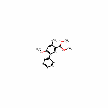 COc1cc(C)c(C(OC)OC)cc1-c1ccccc1